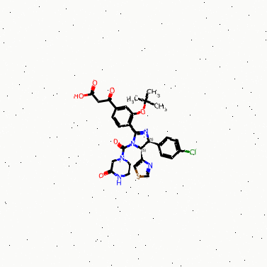 CC(C)(C)Oc1cc(C(=O)CC(=O)O)ccc1C1=N[C@@H](c2ccc(Cl)cc2)[C@@H](c2cscn2)N1C(=O)N1CCNC(=O)C1